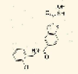 O=C(NCc1ccccc1Cl)c1ccc2sc(C(=O)NO)cc2c1